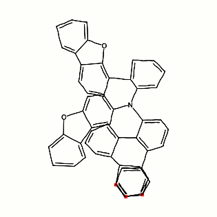 c1ccc(-c2ccccc2-c2c(-c3ccccc3)cccc2N(c2ccc3oc4ccccc4c3c2)c2ccccc2-c2cccc3c2oc2ccccc23)cc1